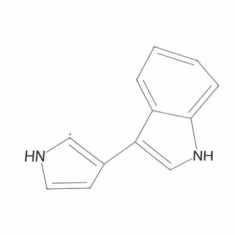 [c]1[nH]ccc1-c1c[nH]c2ccccc12